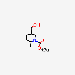 CC1CCC(CO)CN1C(=O)OC(C)(C)C